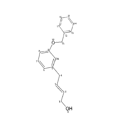 OCC=CCc1cccc(OCc2ccccc2)c1